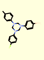 Bc1ccc(N2CN(c3ccc(C)cc3)CN(c3ccc(F)cc3)C2)cc1